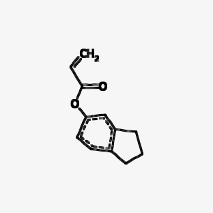 C=CC(=O)Oc1ccc2c(c1)CCC2